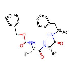 CC(=O)[C@H](Cc1ccccc1)NC(=O)[C@@H](NC(=O)[C@@H](NC(=O)OCc1ccccc1)C(C)C)C(C)C